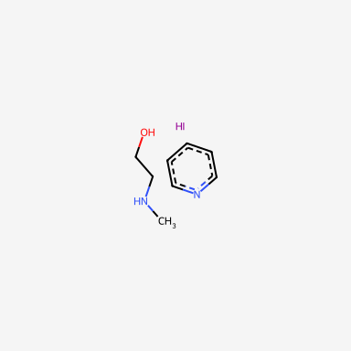 CNCCO.I.c1ccncc1